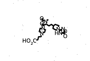 CN1C(=O)O[C@H](N2CCN(CCCC(=O)O)CC2)C1CCC1CCN(c2noc(=O)[nH]2)CC1